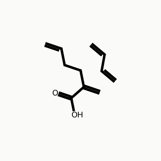 C=CC=C.C=CCCC(=C)C(=O)O